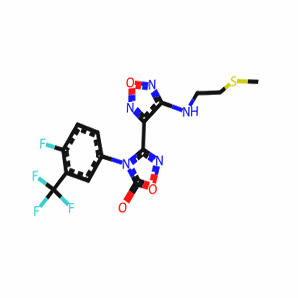 CSCCNc1nonc1-c1noc(=O)n1-c1ccc(F)c(C(F)(F)F)c1